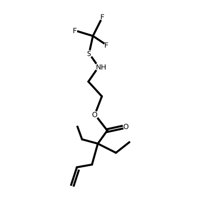 C=CCC(CC)(CC)C(=O)OCCNSC(F)(F)F